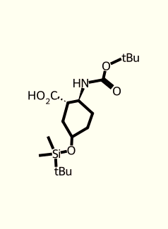 CC(C)(C)OC(=O)N[C@H]1CCC(O[Si](C)(C)C(C)(C)C)C[C@@H]1C(=O)O